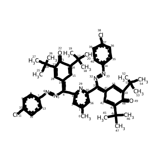 Cc1cc(C(/N=N/c2ccc(Cl)cc2)=C2C=C(C(C)(C)C)C(=O)C(C(C)(C)C)=C2)nc(C(/N=N/c2ccc(Cl)cc2)=C2C=C(C(C)(C)C)C(=O)C(C(C)(C)C)=C2)c1